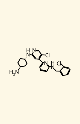 N[C@H]1CC[C@H](Nc2cc(-c3cccc(NCc4ccccc4Cl)n3)c(Cl)cn2)CC1